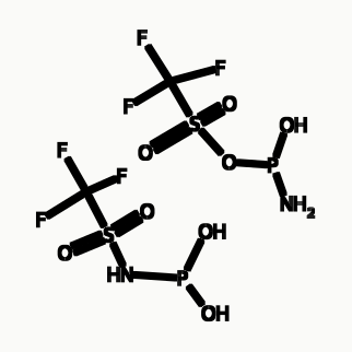 NP(O)OS(=O)(=O)C(F)(F)F.O=S(=O)(NP(O)O)C(F)(F)F